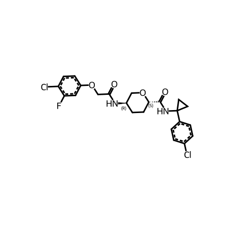 O=C(COc1ccc(Cl)c(F)c1)N[C@@H]1CC[C@@H](C(=O)NC2(c3ccc(Cl)cc3)CC2)OC1